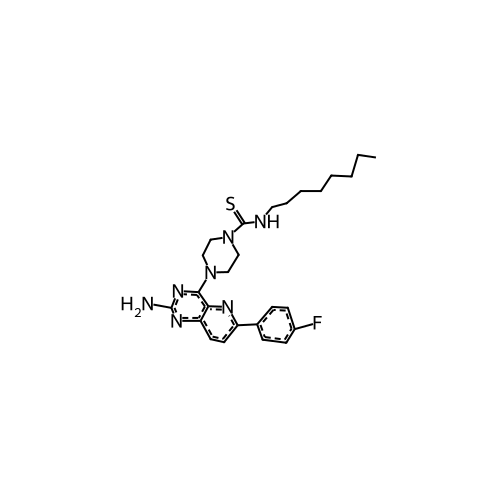 CCCCCCCCNC(=S)N1CCN(c2nc(N)nc3ccc(-c4ccc(F)cc4)nc23)CC1